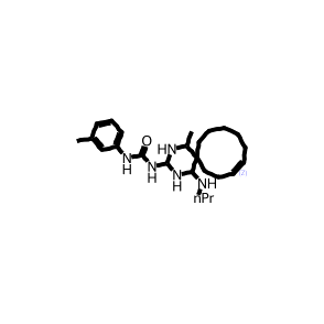 CCCNC1NC(NC(=O)Nc2cccc(C)c2)NC(C)C12CC/C=C\CCCCC2